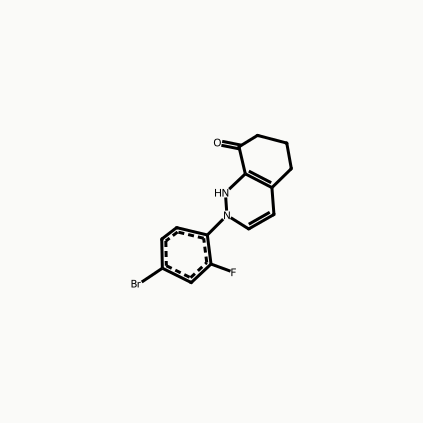 O=C1CCCC2=C1NN(c1ccc(Br)cc1F)C=C2